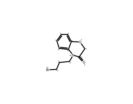 O=C1COc2ccccc2N1CCCBr